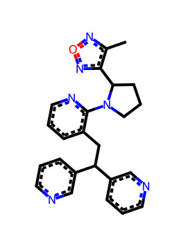 Cc1nonc1C1CCCN1c1ncccc1CC(c1cccnc1)c1cccnc1